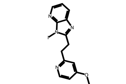 COc1ccnc(CCc2nc3cccnc3n2I)c1